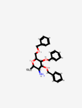 CC(C)(C)C1OC(COCc2ccccc2)C(OCc2ccccc2)C(OCc2ccccc2)C1N